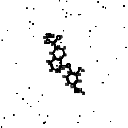 CC(C)(C)OC(=O)N1CCc2c(ncnc2Oc2ccc(N)cc2F)C1